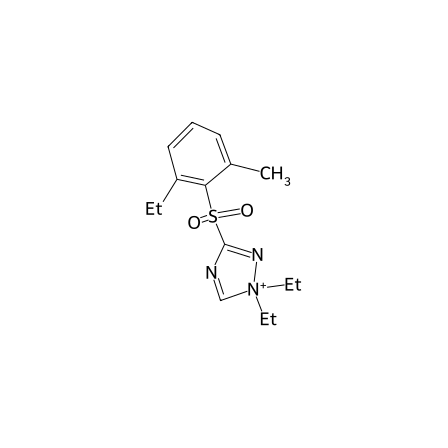 CCc1cccc(C)c1S(=O)(=O)C1=N[N+](CC)(CC)C=N1